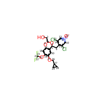 O=C(CO)OC(Cc1c(Cl)c[n+]([O-])cc1Cl)c1ccc(OC(F)F)c(OCC2CC2)c1